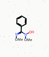 CON=C(c1ccccc1)N(O)OC